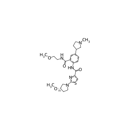 COCCNC(=O)c1cc(C2CCN(C)C2)ccc1NC(=O)c1csc(N2CC[C@H](OC)C2)n1